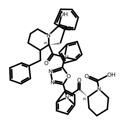 O=C(O)N1CCCC[C@@H]1C(=O)[N+]1(c2nnc([N+]3(C(=O)[C@@]4(Cc5ccccc5)C(Cc5ccccc5)CCCN4C(=O)O)C4=CC=C3C=C4)o2)C2=CC=C1C=C2